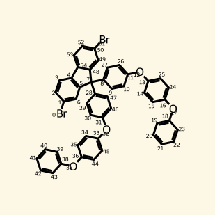 Brc1ccc2c(c1)C(c1ccc(Oc3ccc(Oc4ccccc4)cc3)cc1)(c1ccc(Oc3ccc(Oc4ccccc4)cc3)cc1)c1cc(Br)ccc1-2